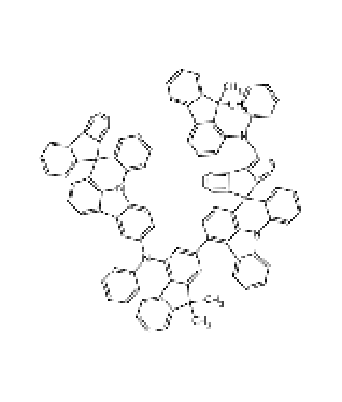 CC1(C)c2ccccc2-c2c(N(c3ccccc3)c3ccc4c(c3)c3cccc5c3n4-c3ccccc3C53c4ccccc4-c4ccccc43)cc(-c3ccc4c5c3c3ccccc3n5-c3ccccc3C43c4ccccc4-c4c(N(c5ccccc5)c5cccc6c5C(C)(C)c5ccccc5-6)cccc43)cc21